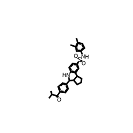 Cc1ccc(NS(=O)(=O)c2ccc3c(c2)C2CCCC2C(c2ccc(C(=O)C(C)C)cc2)N3)cc1C